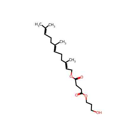 CC(C)=CCC/C(C)=C/CC/C(C)=C/COC(=O)CCC(=O)OCCCO